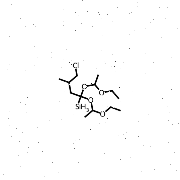 CCOC(C)OC([SiH3])(CC(C)CCl)OC(C)OCC